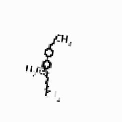 CCCCCCC[C@]1(OC)CC[C@@H](C2CCC(CCCC)CC2)CC1